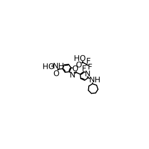 O=C(NO)c1ccc2oc(-c3ccc(NC4CCCCCC4)nc3)nc2c1.O=C(O)C(F)(F)F